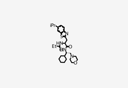 CCC(=O)NC(Cc1nc2ccc(C(C)C)cc2s1)C(=O)N[C@H](CN1CCOCC1)C1CCCCC1